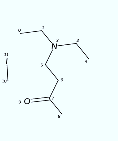 CCN(CC)CCC(C)=O.CI